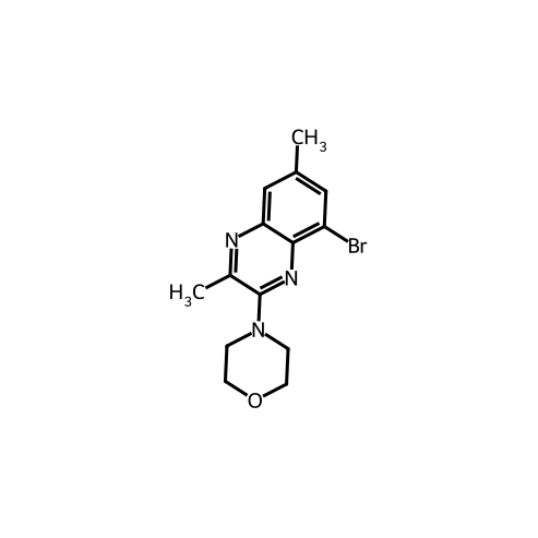 Cc1cc(Br)c2nc(N3CCOCC3)c(C)nc2c1